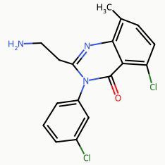 Cc1ccc(Cl)c2c(=O)n(-c3cccc(Cl)c3)c(CCN)nc12